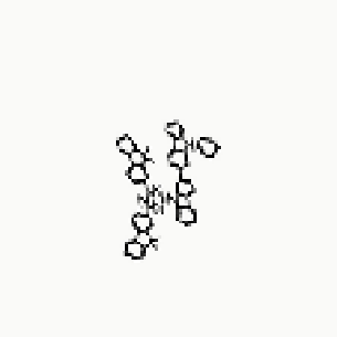 CC1(C)c2ccccc2-c2ccc(-c3nc(-c4ccc5c(c4)C(C)(C)c4ccccc4-5)nc(-n4c5ccccc5c5ccc(-c6ccc7c8ccccc8n(-c8ccccc8)c7c6)cc54)n3)cc21